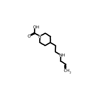 C=CCNCCC1CCN(C(=O)O)CC1